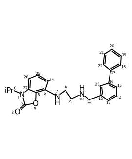 CC(C)n1c(=O)oc2c(NCCNCc3cccc(-c4ccccc4)c3)cccc21